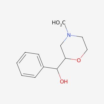 O=C(O)N1CCOC(C(O)c2ccccc2)C1